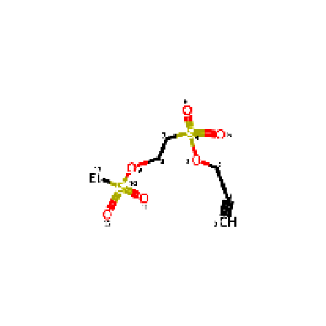 C#CCOS(=O)(=O)CCOS(=O)(=O)CC